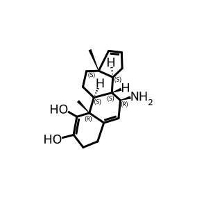 C[C@]12C(=C[C@H](N)[C@@H]3[C@@H]1CC[C@]1(C)C=CC[C@@H]31)CCC(O)=C2O